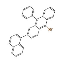 Brc1c2ccccc2c(-c2ccccc2)c2cc(-c3cccc4ccccc34)ccc12